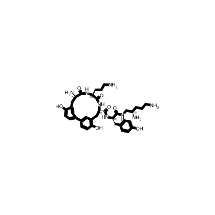 NCCC[C@H](N)CNC(=O)[C@H](Cc1ccc(O)cc1)NC(=O)[C@@H]1Cc2cc(ccc2O)-c2ccc(O)c(c2)C[C@H](N)C(=O)N[C@@H](CCCN)C(=O)N1